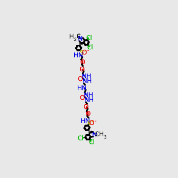 CN1Cc2c(Cl)cc(Cl)cc2[C@H](c2cccc([S+]([O-])NCCOCCOCCNC(=O)NCCNCCNC(=O)NCCOCCOCCN[S+]([O-])c3cccc([C@@H]4CN(C)Cc5c(Cl)cc(Cl)cc54)c3)c2)C1